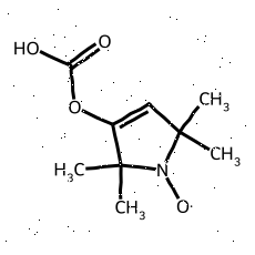 CC1(C)C=C(OC(=O)O)C(C)(C)N1[O]